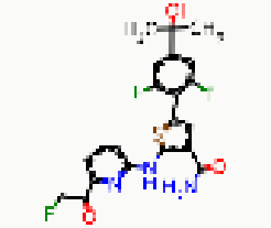 CC(C)(O)c1cc(F)c(-c2cc(C(N)=O)c(Nc3cccc(C(=O)CF)n3)s2)c(F)c1